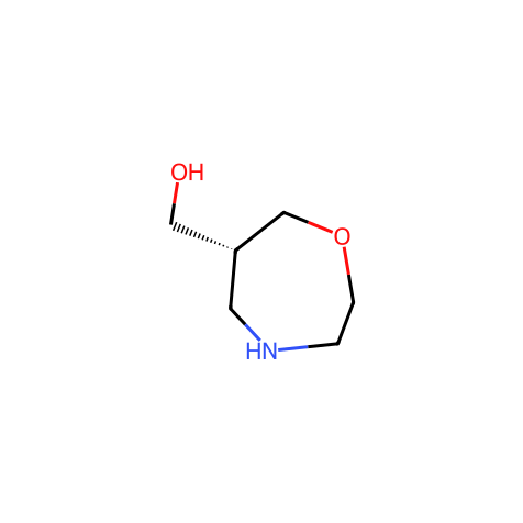 OC[C@H]1CNCCOC1